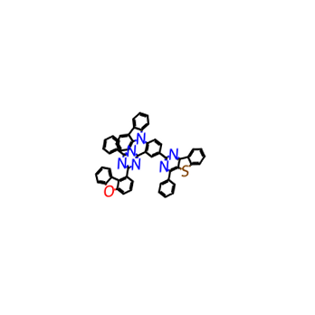 c1ccc(-c2nc(-c3cc(-c4nc(-c5ccccc5)c5sc6ccccc6c5n4)ccc3-n3c4ccccc4c4ccccc43)nc(-c3cccc4oc5ccccc5c34)n2)cc1